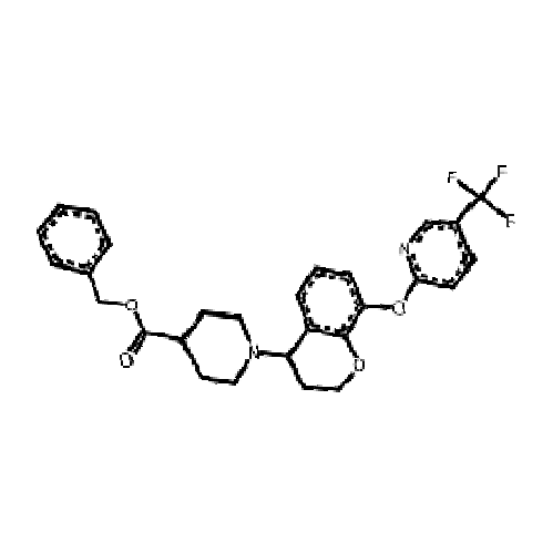 O=C(OCc1ccccc1)C1CCN(C2CCOc3c(Oc4ccc(C(F)(F)F)cn4)cccc32)CC1